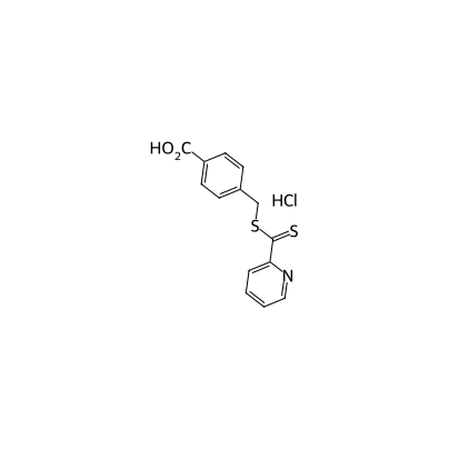 Cl.O=C(O)c1ccc(CSC(=S)c2ccccn2)cc1